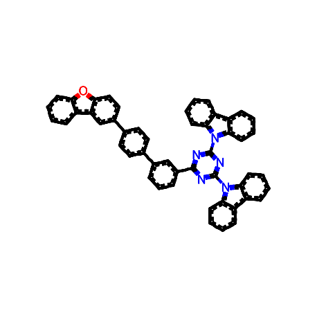 c1cc(-c2ccc(-c3ccc4oc5ccccc5c4c3)cc2)cc(-c2nc(-n3c4ccccc4c4ccccc43)nc(-n3c4ccccc4c4ccccc43)n2)c1